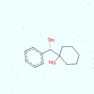 O[C@@H](c1ccccc1)C1(O)CCCCC1